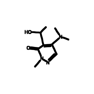 CC(O)c1c(N(C)C)cnn(C)c1=O